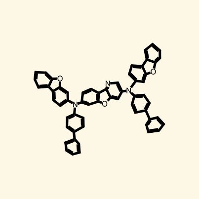 c1ccc(-c2ccc(N(c3ccc4c(c3)oc3ccccc34)c3ccc4c(c3)oc3cc(N(c5ccc(-c6ccccc6)cc5)c5ccc6c(c5)oc5ccccc56)cnc34)cc2)cc1